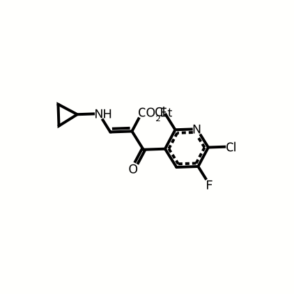 CCOC(=O)/C(=C\NC1CC1)C(=O)c1cc(F)c(Cl)nc1Cl